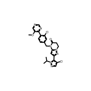 COc1cncnc1-c1ccc(CN2C(=O)CCn3nc(-c4c(Cl)cnn4C(C)C)cc32)cc1Cl